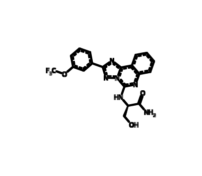 NC(=O)[C@@H](CO)Nc1nc2ccccc2c2nc(-c3cccc(OC(F)(F)F)c3)nn12